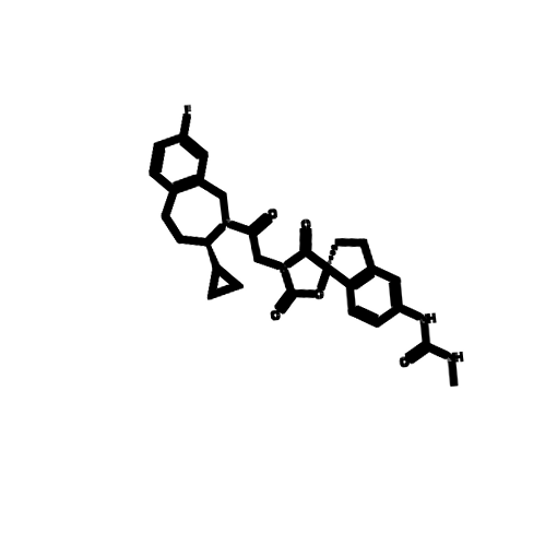 CNC(=O)Nc1ccc2c(c1)CC[C@@]21OC(=O)N(CC(=O)N2Cc3cc(F)ccc3CC[C@@H]2C2CC2)C1=O